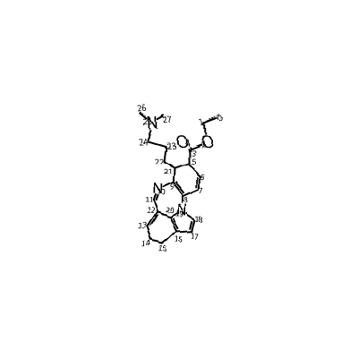 CCOC(=O)C1C=CC2=C(N=CC3=CCCc4ccn2c43)C1CCCN(C)C